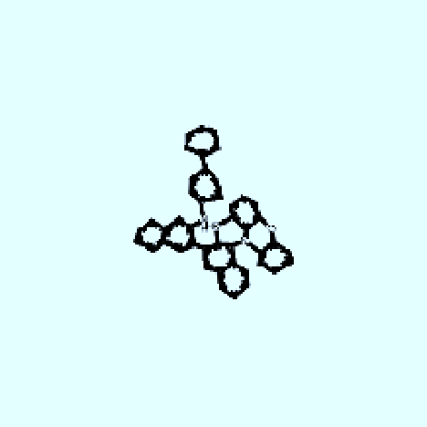 B1c2cccc3c2N(c2ccccc2O3)c2c1c(-c1cc3ccccc3cc1Nc1ccc(-c3ccccc3)cc1)cc1ccccc21